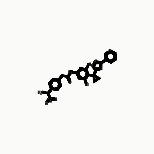 CC(c1ccc(CC(=O)Nc2cc(Cl)c(C3(c4noc(-c5cccnc5)n4)CC3)c(Cl)c2)cc1)[SH](=O)=O